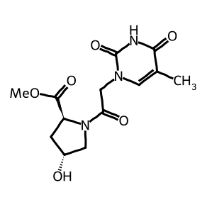 COC(=O)[C@@H]1C[C@@H](O)CN1C(=O)Cn1cc(C)c(=O)[nH]c1=O